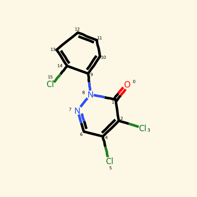 O=c1c(Cl)c(Cl)cnn1-c1ccccc1Cl